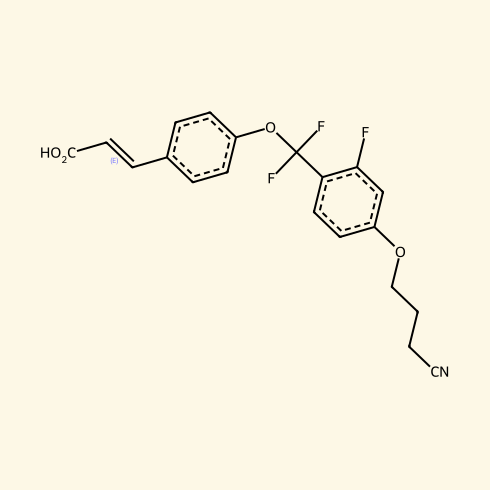 N#CCCCOc1ccc(C(F)(F)Oc2ccc(/C=C/C(=O)O)cc2)c(F)c1